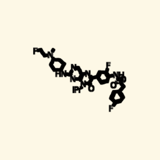 CC(C)n1c(=O)c(-c2ccc(NS(=O)(=O)Cc3ccc(F)cc3)c(F)c2)nc2cnc(NC3CCC(N(C)CCF)CC3)nc21